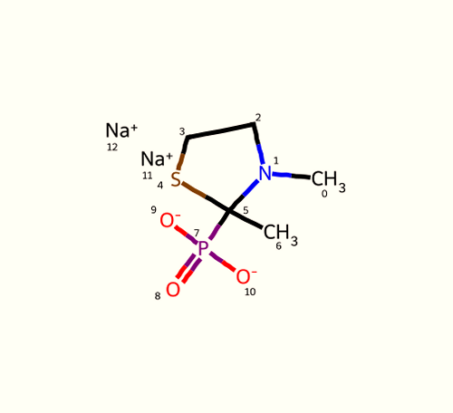 CN1CCSC1(C)P(=O)([O-])[O-].[Na+].[Na+]